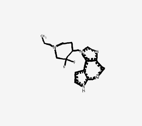 CCN1CCC(n2cnc3cnc4[nH]ccc4c32)C(F)(F)C1